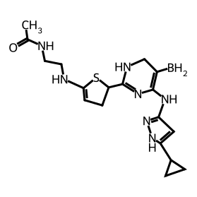 BC1=C(Nc2cc(C3CC3)[nH]n2)N=C(C2CC=C(NCCNC(C)=O)S2)NC1